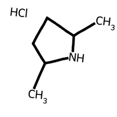 CC1CCC(C)N1.Cl